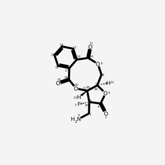 NC[C@]1(F)C(=O)O[C@@H]2COC(=O)c3ccccc3C(=O)O[C@H]21